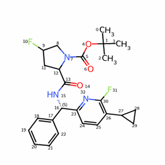 CC(C)(C)OC(=O)N1CC(F)CC1C(=O)N[C@@H](c1ccccc1)c1ccc(C2CC2)c(F)n1